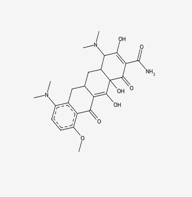 COc1ccc(N(C)C)c2c1C(=O)C1=C(O)C3(O)C(=O)C(C(N)=O)=C(O)C(N(C)C)C3CC1C2